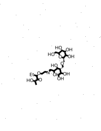 CCC(OCC/N=C/C(O)C(O)[C@H](COC[C@H]1OC(CO)[C@H](O)C(O)C1O)C(O)CO)C(=O)C(C)O